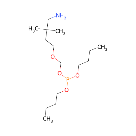 CCCCOP(OCCCC)OCOCCC(C)(C)CN